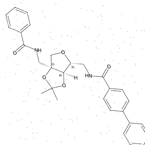 CC1(C)O[C@@H]2[C@@H](CNC(=O)c3ccc(-c4ccccc4)cc3)OC[C@]2(CNC(=O)c2ccccc2)O1